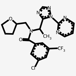 CC(c1ncnn1-c1ncccn1)N(CC1CCCO1)C(=O)c1cc(Cl)cc(C(F)(F)F)c1